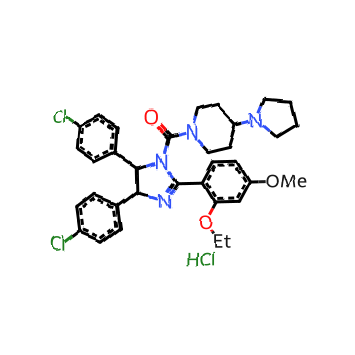 CCOc1cc(OC)ccc1C1=NC(c2ccc(Cl)cc2)C(c2ccc(Cl)cc2)N1C(=O)N1CCC(N2CCCC2)CC1.Cl